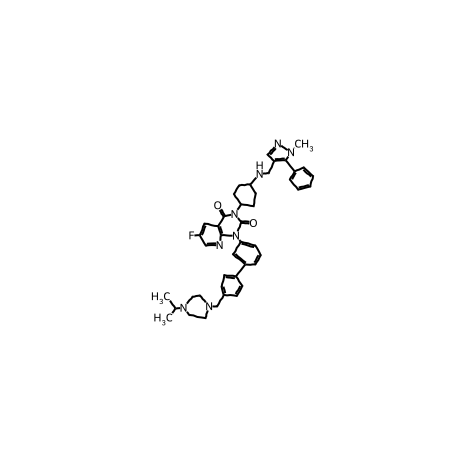 CC(C)N1CCN(Cc2ccc(-c3cccc(-n4c(=O)n(C5CCC(NCc6cnn(C)c6-c6ccccc6)CC5)c(=O)c5cc(F)cnc54)c3)cc2)CC1